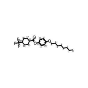 CCCCCCCCOc1ccc(OC(=O)C2CCC(C(F)(F)F)CC2)cc1